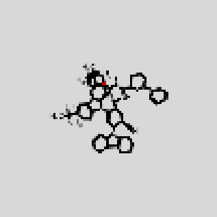 CC(C)(C)C1=CC2=C(CC1)N(C1=CC(N3C4=C(CCCC4)C4CCC=CC43)C(C#N)CC1C1NC(C3CC=CCC3)NC(C3CCCC(C4=CCCC=C4)C3)N1)C1CCC(C(C)(C)C)CC21